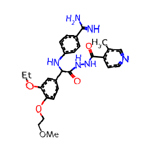 CCOc1cc(C(Nc2ccc(C(=N)N)cc2)C(=O)NNC(=O)c2ccncc2C)ccc1OCCOC